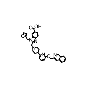 O=C(O)c1ccc2nc(CN3CCC(c4cccc(OCc5cc6ccccc6cn5)n4)CC3)n(CC3=CCO3)c2c1